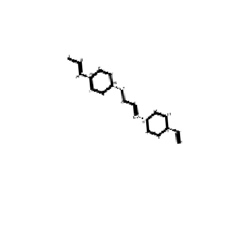 C=C[C@H]1CC[C@H](/C=C/CC[C@H]2CC[C@H](/C=C/C)CC2)CC1